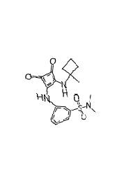 CN(C)S(=O)(=O)c1cccc(Nc2c(NC3(C)CCC3)c(=O)c2=O)c1